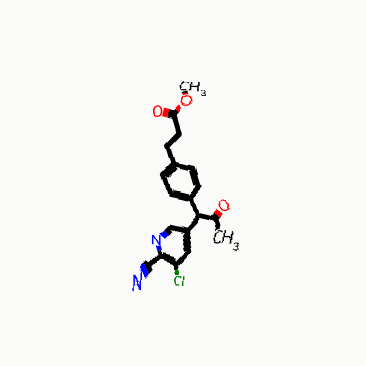 COC(=O)CCc1ccc(C(C(C)=O)c2cnc(C#N)c(Cl)c2)cc1